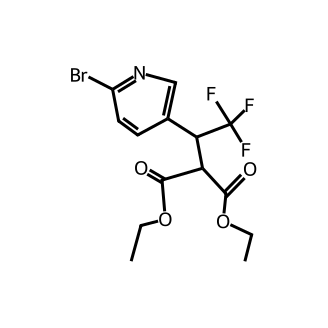 CCOC(=O)C(C(=O)OCC)C(c1ccc(Br)nc1)C(F)(F)F